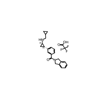 O=C(O)C(F)(F)F.O=C(c1cccc([C@@H]2C[C@H]2NCC2CC2)c1)N1Cc2ccccc2C1